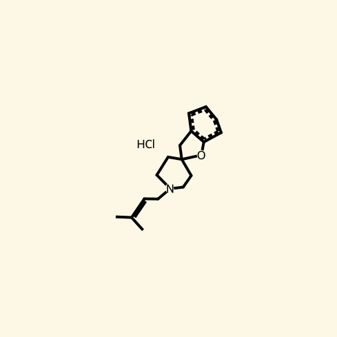 CC(C)=CCN1CCC2(CC1)Cc1ccccc1O2.Cl